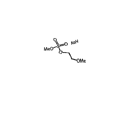 COCCOS(=O)(=O)OC.[NaH]